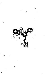 Cn1cnnc1CCc1cc(C2CCOC2)nc(N2Cc3c(cccc3C(F)(F)F)C2=O)c1